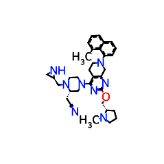 Cc1cccc2cccc(N3CCc4c(nc(OC[C@@H]5CCCN5C)nc4N4CCN(C[C@H]5CN5)[C@@H](CC#N)C4)C3)c12